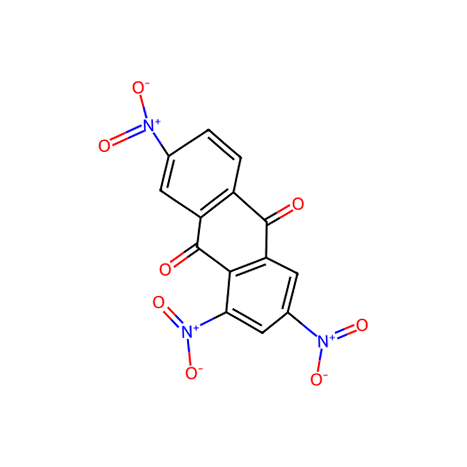 O=C1c2ccc([N+](=O)[O-])cc2C(=O)c2c1cc([N+](=O)[O-])cc2[N+](=O)[O-]